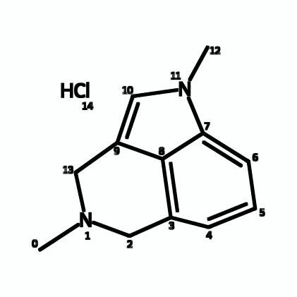 CN1Cc2cccc3c2c(cn3C)C1.Cl